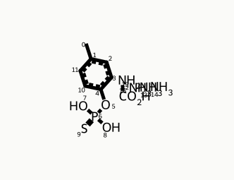 Cc1ccc(OP(O)(O)=S)cc1.N.N.N.NC(=O)O